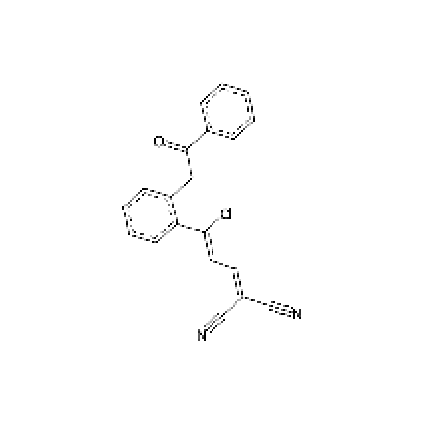 N#CC(C#N)=C/C=C(\Cl)c1ccccc1CC(=O)c1ccccc1